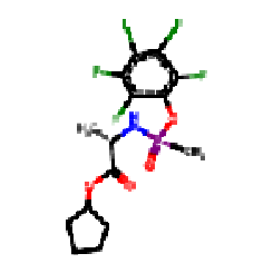 C[C@H](N[P@@](C)(=O)Oc1c(F)c(F)c(F)c(F)c1F)C(=O)OC1CCCC1